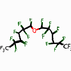 FC(OC(F)C(F)(F)C(F)C(F)C(F)(F)C(F)(F)F)C(F)(F)C(F)C(F)C(F)(F)C(F)(F)F